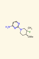 CO[C@H]1CCN(c2nccc(N)n2)C[C@@]1(C)F